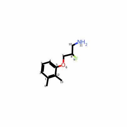 Cc1cccc(OCC(F)CN)c1C